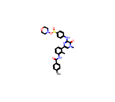 Cc1c(NC(=O)c2ccc(C(C)(C)C)cc2)cccc1-c1cn(C)c(=O)c(Nc2ccc(S(=O)ON3CCOCC3)cc2)n1